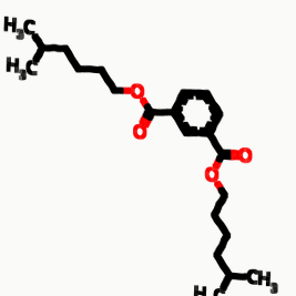 CC(C)CCCCOC(=O)c1cccc(C(=O)OCCCCC(C)C)c1